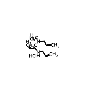 C=CCN(C)C.C=CCNCC=C.Cl.Cl